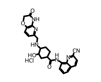 Cl.N#Cc1ccc2cccc(NC(=O)C3CCC(NCc4ccc5c(n4)NC(=O)CO5)C(O)C3)c2n1